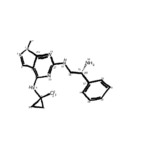 Cn1ncc2c(NC3(C(F)(F)F)CC3)nc(NC[C@H](N)c3ccccc3)nc21